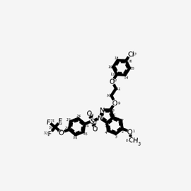 COc1ccc2c(c1)c(OCCOc1ccc(Cl)cc1)nn2S(=O)(=O)c1ccc(OC(F)(F)F)cc1